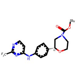 CC(C)(C)OC(=O)N1CCO[C@H](c2ccc(Nc3ccnc(C(F)(F)F)n3)cc2)C1